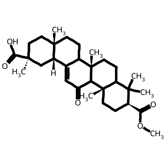 COC(=O)[C@H]1CC[C@@]2(C)C(CC[C@@]3(C)C4CC[C@@]5(C)CC[C@](C)(C(=O)O)C[C@H]5C4=CC(=O)C32)C1(C)C